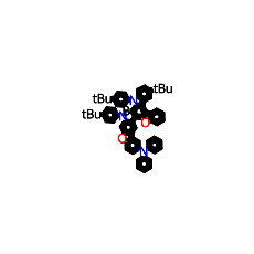 CC(C)(C)c1ccc(N2B3c4cc(C(C)(C)C)ccc4-n4c5ccc(C(C)(C)C)cc5c5c6c(oc7ccccc76)c(c3c54)-c3cc4c(cc32)oc2ccc(N(c3ccccc3)c3ccccc3)cc24)cc1